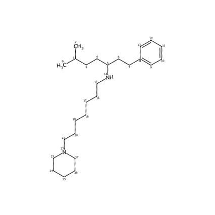 CC(C)CCC(CCc1ccccc1)NCCCCCCCN1CCCCC1